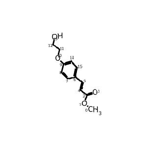 COC(=O)/C=C/c1ccc(OCCO)cc1